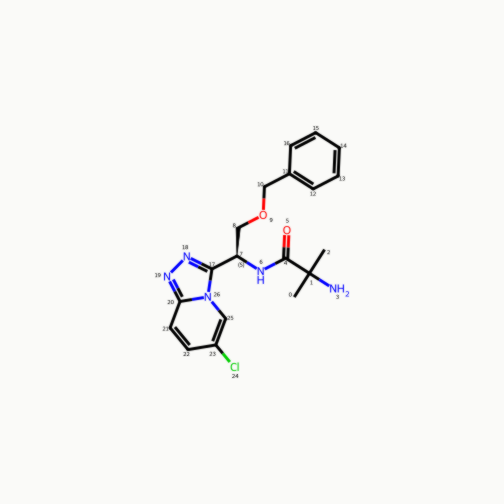 CC(C)(N)C(=O)N[C@H](COCc1ccccc1)c1nnc2ccc(Cl)cn12